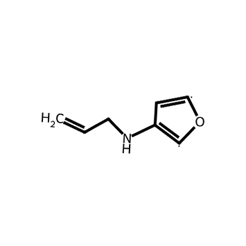 C=CCNc1[c]o[c]c1